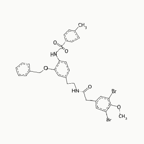 COc1c(Br)cc(CC(=O)NCCc2ccc(NS(=O)(=O)c3ccc(C)cc3)c(OCc3ccccc3)c2)cc1Br